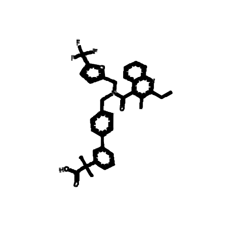 CCc1nc2ccccc2c(C(=O)N(Cc2ccc(-c3cccc(C(C)(C)C(=O)O)c3)cc2)Cc2ccc(C(F)(F)F)o2)c1C